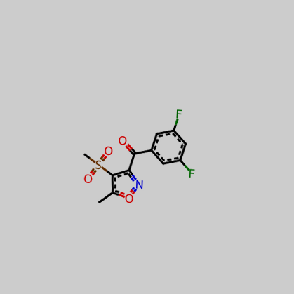 Cc1onc(C(=O)c2cc(F)cc(F)c2)c1S(C)(=O)=O